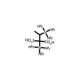 CCC[Si](CCC)(CCC)C(C)C(C(=O)O)([Si](CCC)(CCC)CCC)S(=O)(=O)O